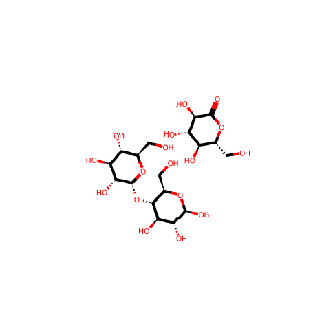 O=C1O[C@H](CO)[C@@H](O)[C@H](O)[C@H]1O.OC[C@H]1O[C@H](O[C@H]2[C@H](O)[C@@H](O)[C@H](O)O[C@@H]2CO)[C@H](O)[C@@H](O)[C@@H]1O